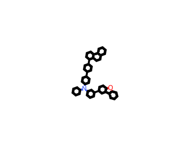 c1ccc(N(c2ccc(-c3ccc(-c4cccc5c4ccc4ccccc45)cc3)cc2)c2cccc(-c3ccc4oc5ccccc5c4c3)c2)cc1